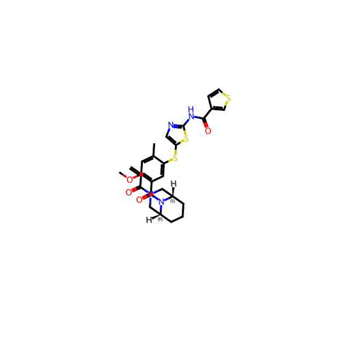 C=CC(=O)N1C[C@H]2CCC[C@@H](C1)N2C(=O)c1cc(Sc2cnc(NC(=O)c3ccsc3)s2)c(C)cc1OC